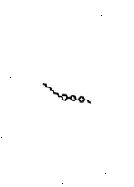 CCCCCCCCCc1ccc(-c2ccc([C@H]3CC[C@H](CCC)CC3)cc2)cc1